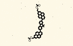 CC(=O)OCCc1cc2ccc3ccc(-c4ccc5c(c4)C(C)(C)c4cc(-c6ccc7ccc8cc(COC(C)=O)cc9ccc6c7c89)ccc4-5)c4ccc(c1)c2c34